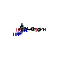 N#Cc1ccc(OCc2ccc(C#Cc3ccc(C(F)(F)C(O)(CN/C=N\N=N)c4ccc(F)cc4F)nc3)cc2)cc1